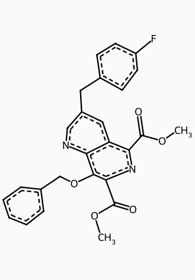 COC(=O)c1nc(C(=O)OC)c2cc(Cc3ccc(F)cc3)cnc2c1OCc1ccccc1